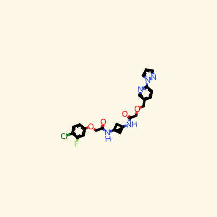 O=C(COCc1ccc(-n2cccn2)nc1)NC12CC(NC(=O)COc3ccc(Cl)c(F)c3)(C1)C2